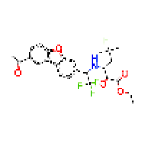 CCOC(=O)C(=O)[C@H](CC(C)(C)F)NC(c1ccc2c(c1)oc1ccc(C(C)=O)cc12)C(F)(F)F